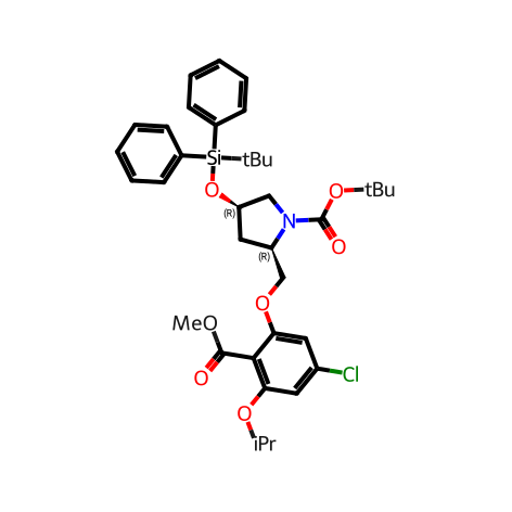 COC(=O)c1c(OC[C@H]2C[C@@H](O[Si](c3ccccc3)(c3ccccc3)C(C)(C)C)CN2C(=O)OC(C)(C)C)cc(Cl)cc1OC(C)C